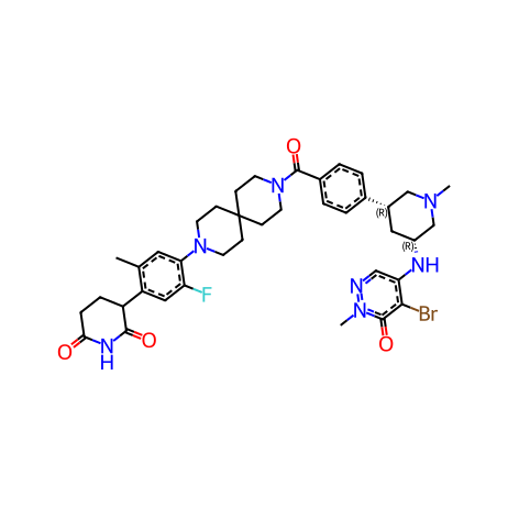 Cc1cc(N2CCC3(CCN(C(=O)c4ccc([C@H]5C[C@@H](Nc6cnn(C)c(=O)c6Br)CN(C)C5)cc4)CC3)CC2)c(F)cc1C1CCC(=O)NC1=O